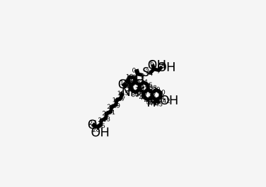 C=C(CSCC(O)CO)[C@@H]1CC[C@]2(C(=O)NCCCCCCCCCCC(=O)O)CC[C@]3(C)[C@H](CCC4[C@@]5(C)CC[C@H](O)C(C)(C)[C@@H]5CC[C@]43C)[C@@H]12